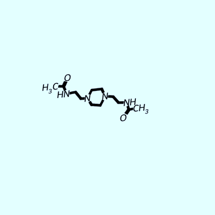 CC(=O)NCCN1CCN(CCNC(C)=O)CC1